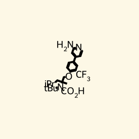 CC(C)CC(C)(COc1ccc(-c2ccnc(N)c2)cc1C(F)(F)F)N(C(=O)O)C(C)(C)C